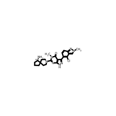 Cn1cc2c(Cl)c(-c3n[nH]c4nc(N5CCC6(CCC[C@H]6N)CC5)n(C)c(=O)c34)ccc2n1